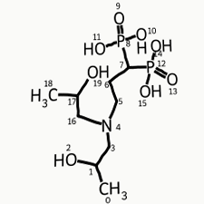 CC(O)CN(CCC(P(=O)(O)O)P(=O)(O)O)CC(C)O